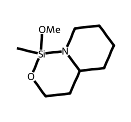 CO[Si]1(C)OCCC2CCCCN21